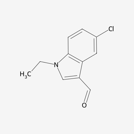 CCn1cc(C=O)c2cc(Cl)ccc21